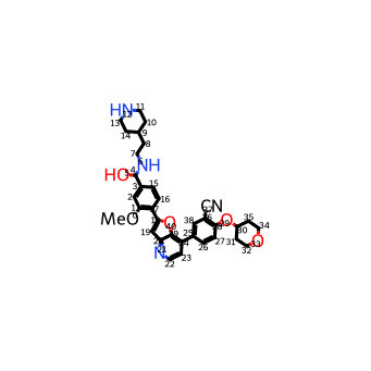 COc1cc(C(O)NCCC2CCNCC2)ccc1-c1cc2nccc(-c3ccc(OC4CCOCC4)c(C#N)c3)c2o1